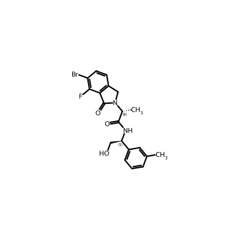 Cc1cccc([C@@H](CO)NC(=O)[C@@H](C)N2Cc3ccc(Br)c(F)c3C2=O)c1